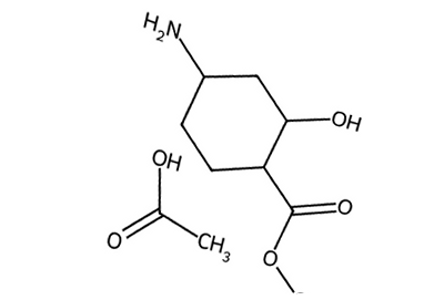 CC(=O)O.COC(=O)C1CCC(N)CC1O